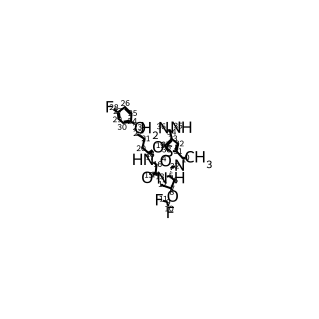 CC(NC(=O)[C@@H]1C[C@@H](OC(F)F)CN1C(=O)CNC(=O)CCCOc1ccc(F)cc1)c1cc(C(=N)N)cs1